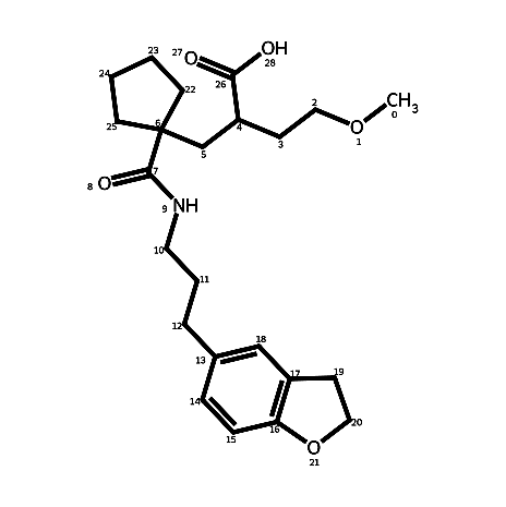 COCCC(CC1(C(=O)NCCCc2ccc3c(c2)CCO3)CCCC1)C(=O)O